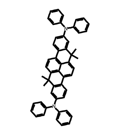 CC1(C)c2cc(N(c3ccccc3)c3ccccc3)ccc2-c2ccc3c4c(ccc1c24)-c1ccc(N(c2ccccc2)c2ccccc2)cc1C3(C)C